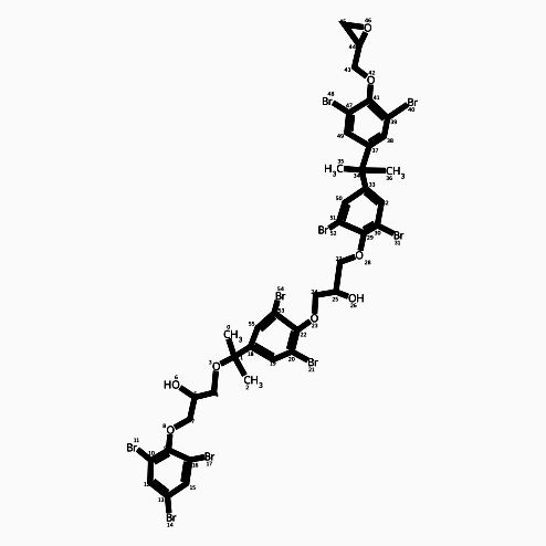 CC(C)(OCC(O)COc1c(Br)cc(Br)cc1Br)c1cc(Br)c(OCC(O)COc2c(Br)cc(C(C)(C)c3cc(Br)c(OCC4CO4)c(Br)c3)cc2Br)c(Br)c1